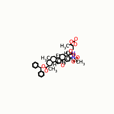 CC[C@@]12CC[C@@]3(C)CC[C@](C)(C(=O)OC(c4ccccc4)c4ccccc4)C[C@H]3C1=CC(=O)[C@@H]1[C@@]3(C)CC[C@H](NS(C)(=O)=O)[C@@](C)(C(=O)OCc4oc(=O)oc4C)[C@@H]3CC[C@]12C